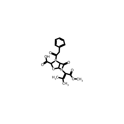 COC(=O)C(=C(C)C)N1C(=O)C2C1OC(C(=O)O)N2C(=O)Cc1ccccc1